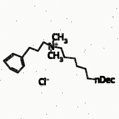 CCCCCCCCCCCCCCCC[N+](C)(C)CCCc1ccccc1.[Cl-]